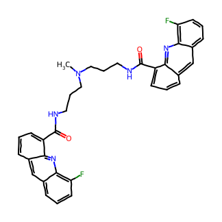 CN(CCCNC(=O)c1cccc2cc3cccc(F)c3nc12)CCCNC(=O)c1cccc2cc3cccc(F)c3nc12